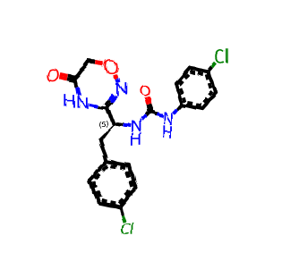 O=C1CON=C([C@H](Cc2ccc(Cl)cc2)NC(=O)Nc2ccc(Cl)cc2)N1